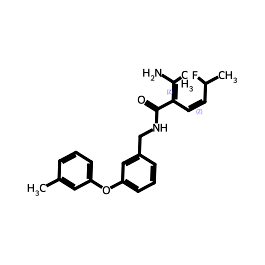 C/C(N)=C(\C=C/C(C)F)C(=O)NCc1cccc(Oc2cccc(C)c2)c1